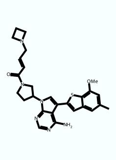 COc1cc(C)cc2cc(-c3cn(C4CCN(C(=O)/C=C/CN5CCC5)C4)c4ncnc(N)c34)sc12